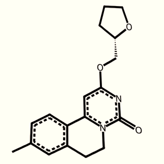 Cc1ccc2c(c1)CCn1c-2cc(OC[C@@H]2CCCO2)nc1=O